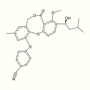 COc1c([C@@H](O)CC(C)C)ccc2c1C(=O)OCc1cc(C)cc(Oc3ccc(C#N)cc3)c1O2